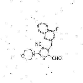 N#Cc1c(N2CCOCC2)sc(C=O)c1Cc1cc(F)c2ccccc2c1